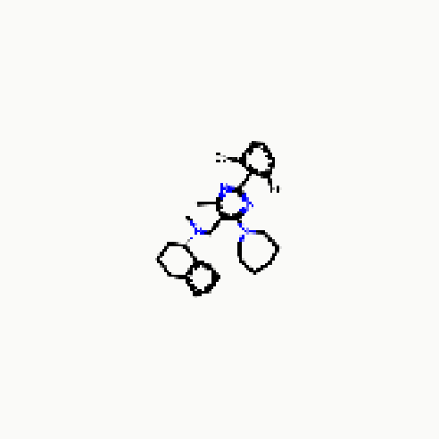 CCc1cccc(CC)c1-c1nc(C)c(CN(C)[C@H]2CCCc3ccccc32)c(N2CCCCCC2)n1